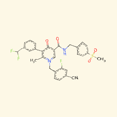 Cc1c(-c2cccc(C(F)F)c2)c(=O)c(C(=O)NCc2ccc(S(C)(=O)=O)cc2)cn1Cc1ccc(C#N)cc1F